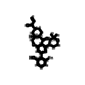 C=CC(=O)N1CCN2C(=O)c3c(cc(-c4c(O)cccc4F)nc3N3CCOC(C)(C)C3)OC[C@H]2C1